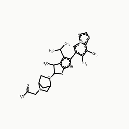 Cc1c(-c2[nH]c3c(c2C(C)C)C(C)C([C@@H]2CC4CC2CN4CC(N)=O)S3)cn2ncnc2c1C